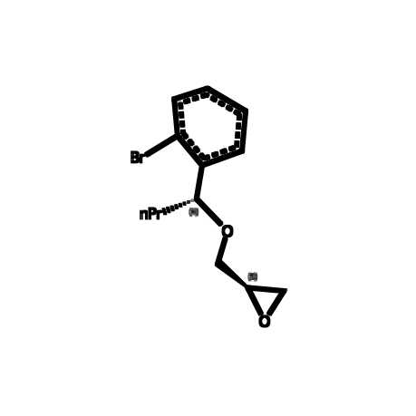 CCC[C@@H](OC[C@H]1CO1)c1ccccc1Br